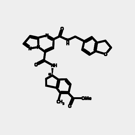 COC(=O)c1ccc2c(c1C)CC[C@@H]2NC(=O)c1cc(C(=O)NCc2ccc3c(c2)CCO3)nc2ccnn12